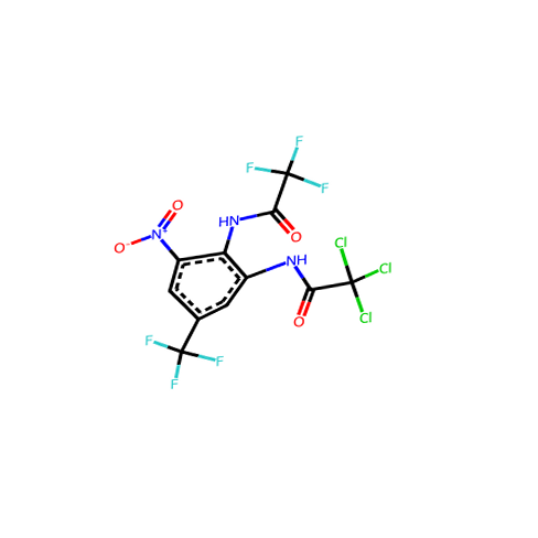 O=C(Nc1c(NC(=O)C(Cl)(Cl)Cl)cc(C(F)(F)F)cc1[N+](=O)[O-])C(F)(F)F